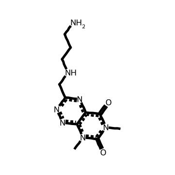 Cn1c(=O)c2nc(CNCCCN)nnc2n(C)c1=O